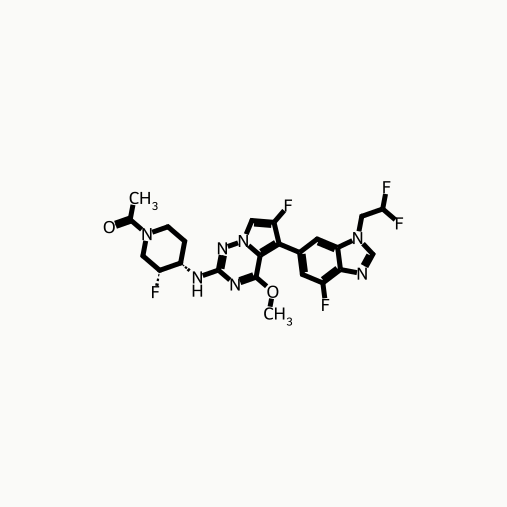 COc1nc(N[C@H]2CCN(C(C)=O)C[C@H]2F)nn2cc(F)c(-c3cc(F)c4ncn(CC(F)F)c4c3)c12